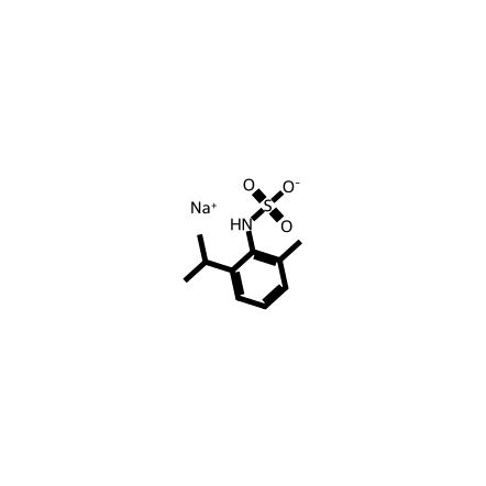 Cc1cccc(C(C)C)c1NS(=O)(=O)[O-].[Na+]